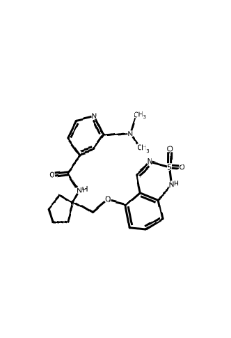 CN(C)c1cc(C(=O)NC2(COc3cccc4c3C=NS(=O)(=O)N4)CCCC2)ccn1